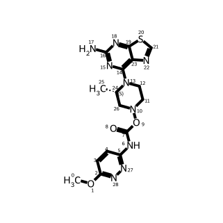 COc1ccc(NC(=O)ON2CCN(c3nc(N)nc4scnc34)[C@@H](C)C2)nn1